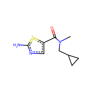 CN(CC1CC1)C(=O)c1cnc(N)s1